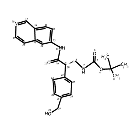 CC(C)(C)OC(=O)NC[C@@H](C(=O)Nc1ccc2cnccc2c1)c1ccc(CO)cc1